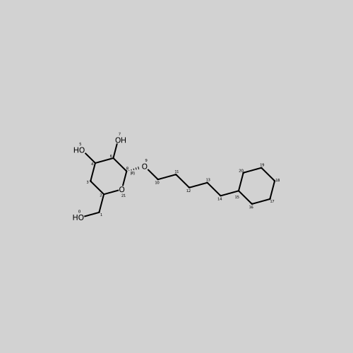 OCC1CC(O)C(O)[C@H](OCCCCCC2CCCCC2)O1